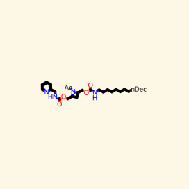 CCCCCCCCCCCCCCCCCCNC(=O)OCC1CC(COC(=O)NCc2ccccn2)N1C(C)=O